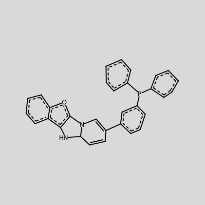 C1=CC2Nc3c(oc4ccccc34)N2C=C1c1cccc(P(c2ccccc2)c2ccccc2)c1